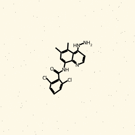 Cc1cc(NC(=O)c2c(Cl)cccc2Cl)c2nccc(NN)c2c1C